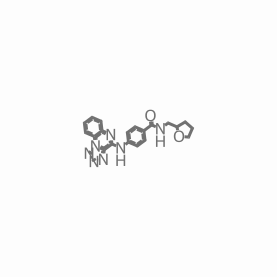 O=C(NCC1CCCO1)c1ccc(Nc2nc3ccccc3n3nnnc23)cc1